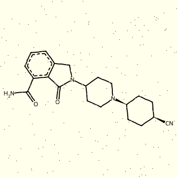 N#C[C@H]1CC[C@@H](N2CCC(N3Cc4cccc(C(N)=O)c4C3=O)CC2)CC1